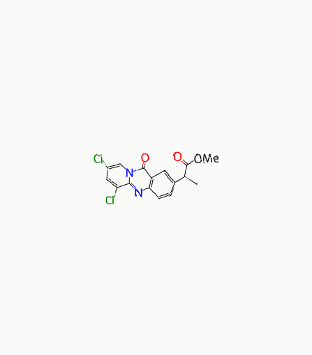 COC(=O)C(C)c1ccc2nc3c(Cl)cc(Cl)cn3c(=O)c2c1